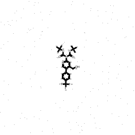 CC(C)(C)OC(=O)N(C(=O)OC(C)(C)C)c1cc(CO)c(-c2ccc(C(F)(F)F)cc2)cn1